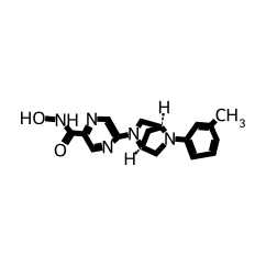 Cc1cccc(N2C[C@@H]3C[C@H]2CN3c2cnc(C(=O)NO)cn2)c1